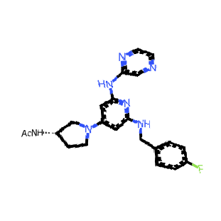 CC(=O)N[C@H]1CCN(c2cc(NCc3ccc(F)cc3)nc(Nc3cnccn3)c2)C1